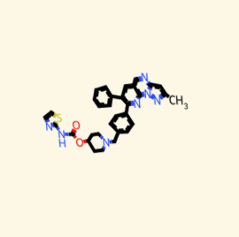 Cc1cc2ncc3cc(-c4ccccc4)c(-c4ccc(CN5CCC(OC(=O)Nc6nccs6)CC5)cc4)nc3n2n1